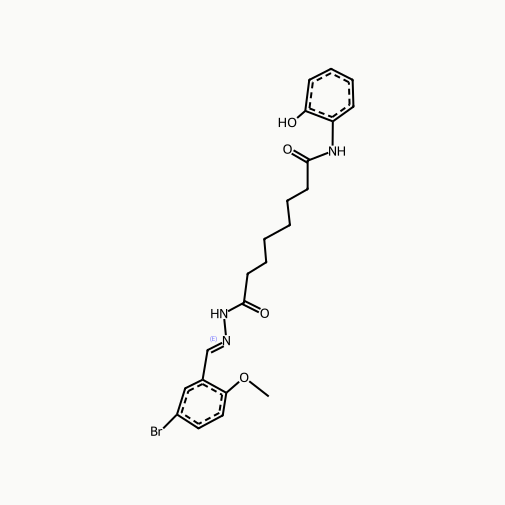 COc1ccc(Br)cc1/C=N/NC(=O)CCCCCCC(=O)Nc1ccccc1O